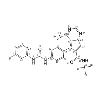 Cc1ccnc(NC(=O)Nc2ccc(-c3c(C(=O)NC(C)(C)C)cn4ncnc(N)c34)cc2)c1